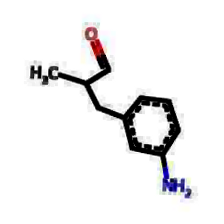 CC(C=O)Cc1cccc(N)c1